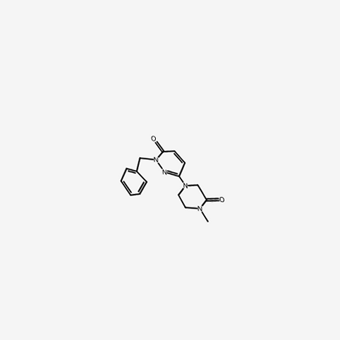 CN1CCN(c2ccc(=O)n(Cc3ccccc3)n2)CC1=O